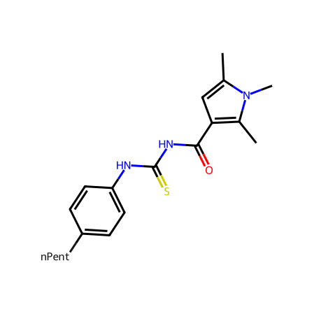 CCCCCc1ccc(NC(=S)NC(=O)c2cc(C)n(C)c2C)cc1